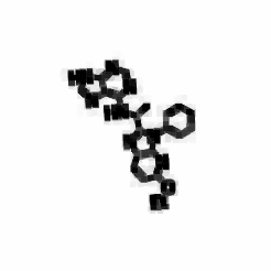 CCOc1ccc2nc([C@H](C)Nc3ncnc4[nH]cnc34)n(-c3ccccc3)c2n1